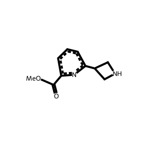 COC(=O)c1cccc(C2CNC2)n1